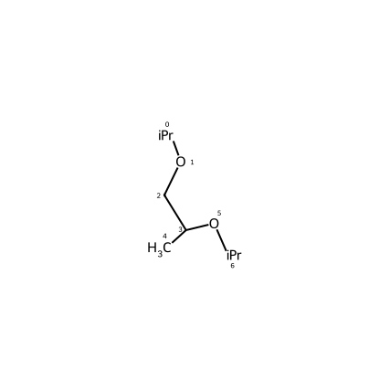 [CH2]C(C)OCC(C)OC(C)C